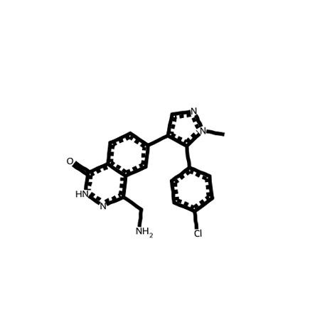 Cn1ncc(-c2ccc3c(=O)[nH]nc(CN)c3c2)c1-c1ccc(Cl)cc1